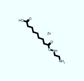 NCCNOC(=O)CCCCCCCC(=O)O.[Zn]